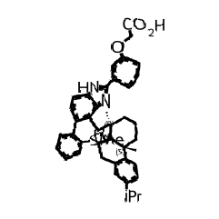 CSc1ccccc1-c1ccc2[nH]c(-c3cccc(OCC(=O)O)c3)nc2c1C[C@@]1(C)CCC[C@]2(C)c3ccc(C(C)C)cc3CC[C@@H]12